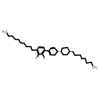 CCCCCCCCCCc1ccc(C2=CCC([C@H]3CC[C@H](CCCCCCCC)CC3)C=C2)c(F)c1F